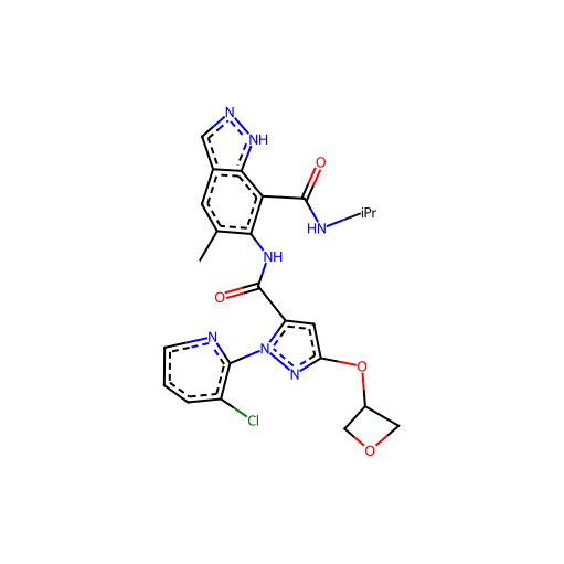 Cc1cc2cn[nH]c2c(C(=O)NC(C)C)c1NC(=O)c1cc(OC2COC2)nn1-c1ncccc1Cl